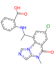 CC(Nc1ccccc1C(=O)O)c1cc(Cl)cc2c(=O)n(C)c3cncn3c12